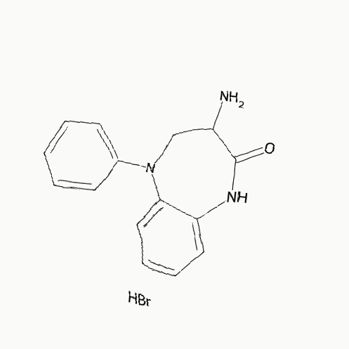 Br.NC1CN(c2ccccc2)c2ccccc2NC1=O